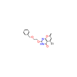 C=C1C=C(CC)c2c(nc(OCCOCc3ccccc3)[nH]c2=O)O1